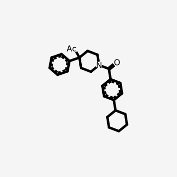 CC(=O)C1(c2ccccc2)CCN(C(=O)c2ccc(C3CCCCC3)cc2)CC1